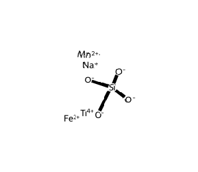 [Fe+2].[Mn+2].[Na+].[O-][Si]([O-])([O-])[O-].[Ti+4]